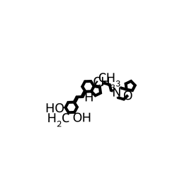 C=C1[C@H](O)C/C(=C/C=C2\CCC[C@]3(C)[C@@H](C(C)CCN4CCOC5(CCCC5)C4)CC[C@@H]23)C[C@@H]1O